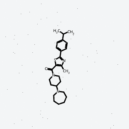 Cc1nc(-c2ccc(C(C)C)cc2)sc1C(=O)N1CCC(N2CCCCCC2)CC1